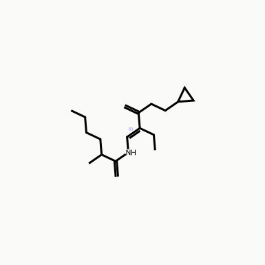 C=C(CCC1CC1)/C(=C/NC(=C)C(C)CCCC)CC